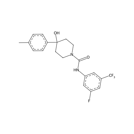 Cc1ccc(C2(O)CCN(C(=O)Nc3cc(F)cc(C(F)(F)F)c3)CC2)cc1